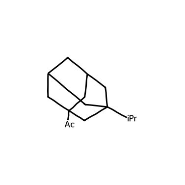 CC(=O)C12CC3CC(C1)CC(C(C)C)(C3)C2